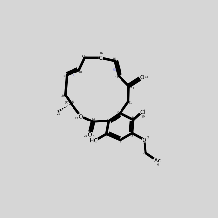 CC(=O)COc1cc(O)c2c(c1Cl)CC(=O)/C=C/CC/C=C/C[C@@H](C)OC2=O